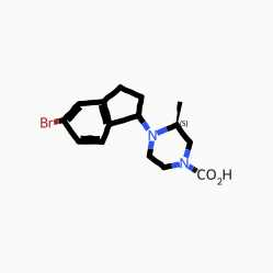 C[C@H]1CN(C(=O)O)CCN1C1CCc2cc(Br)ccc21